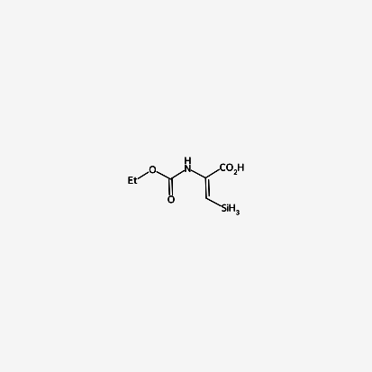 CCOC(=O)NC(=C[SiH3])C(=O)O